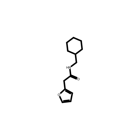 O=C(Cc1ccco1)NCC1CCCCC1